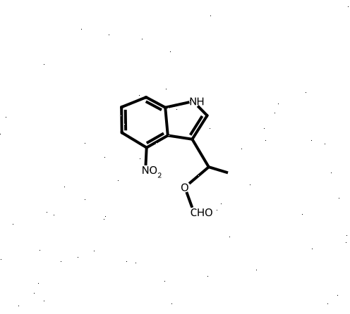 CC(OC=O)c1c[nH]c2cccc([N+](=O)[O-])c12